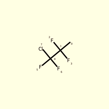 CC(F)(F)C(F)(F)Cl